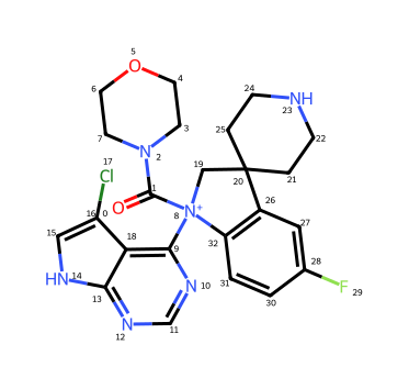 O=C(N1CCOCC1)[N+]1(c2ncnc3[nH]cc(Cl)c23)CC2(CCNCC2)c2cc(F)ccc21